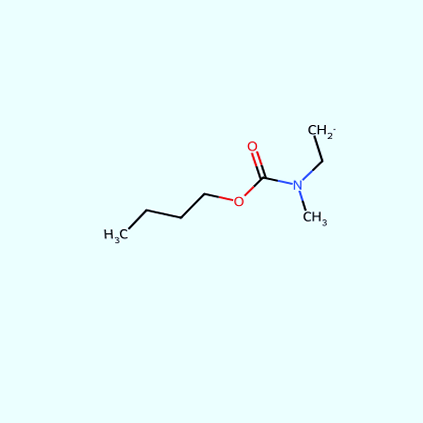 [CH2]CN(C)C(=O)OCCCC